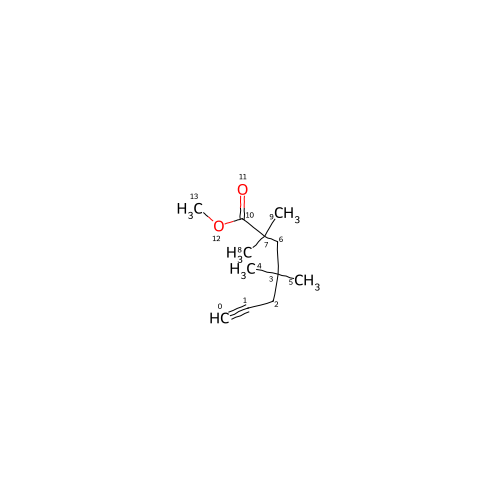 C#CCC(C)(C)CC(C)(C)C(=O)OC